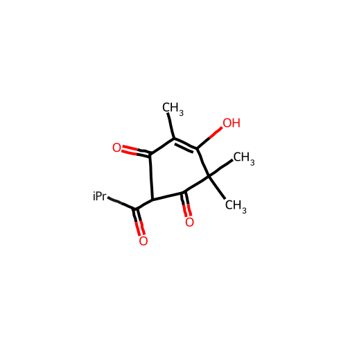 CC1=C(O)C(C)(C)C(=O)C(C(=O)C(C)C)C1=O